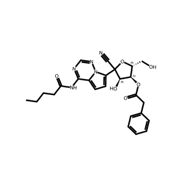 CCCCC(=O)Nc1ncnn2c(C3(C#N)O[C@H](CO)[C@@H](OC(=O)Cc4ccccc4)[C@H]3O)ccc12